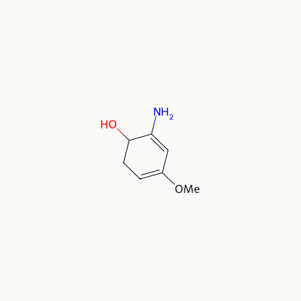 COC1=CCC(O)C(N)=C1